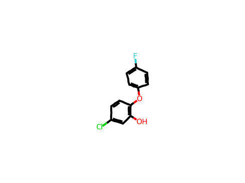 Oc1cc(Cl)ccc1Oc1ccc(F)cc1